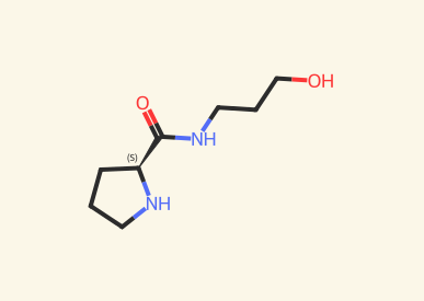 O=C(NCCCO)[C@@H]1CCCN1